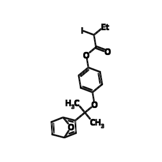 CCC(I)C(=O)Oc1ccc(OC(C)(C)c2cc3ccc2o3)cc1